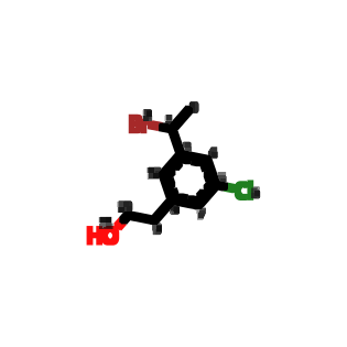 CC(Br)c1cc(Cl)cc(CCO)c1